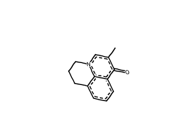 Cc1cn2c3c(cccc3c1=O)CCC2